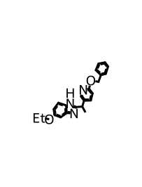 CCOc1ccc2[nH]c(C(C)c3ccc(OCc4ccccc4)nc3)nc2c1